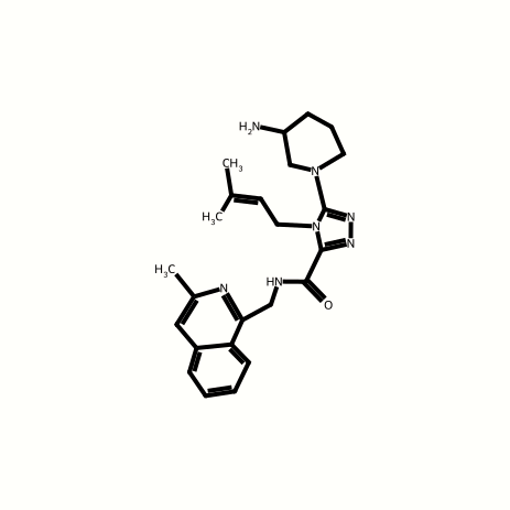 CC(C)=CCn1c(C(=O)NCc2nc(C)cc3ccccc23)nnc1N1CCCC(N)C1